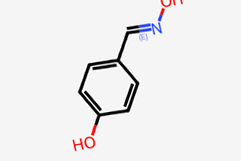 O/N=C/c1ccc(O)cc1